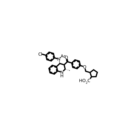 CC(=O)N(c1ccc(Cl)cc1)[C@H]1c2ccccc2N[C@@H](C)C1C(=O)c1ccc(OCC2CCCC2C(=O)O)cc1